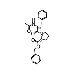 CC(=O)N[C@H](Cc1ccccc1)C(=O)N1CCC[C@H]1C(=O)OCc1ccccc1